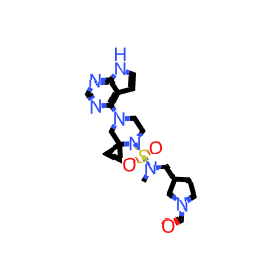 CN(CC1CCN(C=O)C1)S(=O)(=O)N1CCN(c2ncnc3[nH]ccc23)CC12CC2